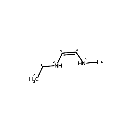 CCN/C=C\NI